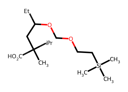 CCC(CC(C)(C(=O)O)C(C)C)OCOCC[Si](C)(C)C